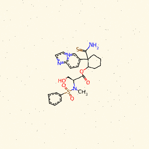 CN([C@@H](CO)C(=O)OC1CCCCC1(C(N)=S)c1ccc2nccn2c1)S(=O)(=O)c1ccccc1